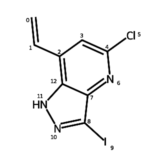 C=Cc1cc(Cl)nc2c(I)n[nH]c12